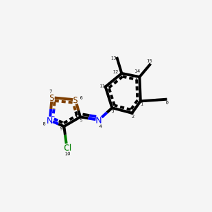 Cc1cc(/N=c2\ssnc2Cl)cc(C)c1C